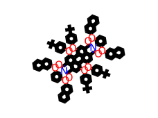 CC(C)(C)c1ccc(Oc2cc3c4c(cc(Oc5ccc(C(C)(C)C)cc5)c5c6c(Oc7ccc(C(C)(C)C)cc7)cc7c8c(cc(Oc9ccc(C(C)(C)C)cc9)c(c2c45)c86)C(=O)N(c2c(Oc4ccc5ccccc5c4)cccc2Oc2ccc4ccccc4c2)C7=O)C(=O)N(c2c(Oc4ccc5ccccc5c4)cccc2Oc2ccc4ccccc4c2)C3=O)cc1